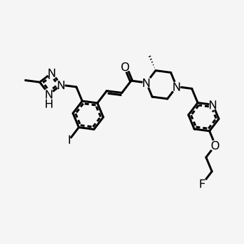 Cc1nn(Cc2cc(I)ccc2/C=C/C(=O)N2CCN(Cc3ccc(OCCF)cn3)C[C@H]2C)[nH]1